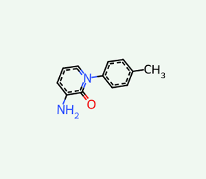 Cc1ccc(-n2cccc(N)c2=O)cc1